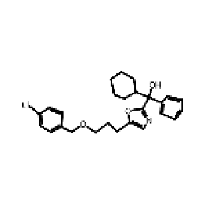 OC(c1ccccc1)(c1ncc(CCCOCc2ccc(Cl)cc2)o1)C1CCCCC1